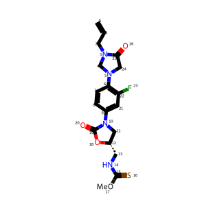 C=CCN1CN(c2ccc(N3C[C@H](CNC(=S)OC)OC3=O)cc2F)CC1=O